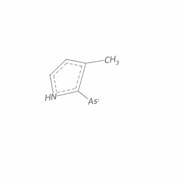 Cc1cc[nH]c1[As]